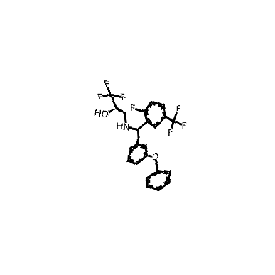 O[C@H](CNC(c1cccc(Oc2ccccc2)c1)c1cc(C(F)(F)F)ccc1F)C(F)(F)F